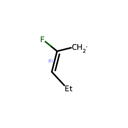 [CH2]/C(F)=C\CC